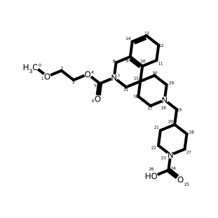 COCCOC(=O)N1CC2=C(CCC=C2)C2(CCN(CC3CCN(C(=O)O)CC3)CC2)C1